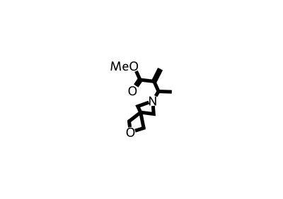 C=C(C(=O)OC)C(C)N1CC2(COC2)C1